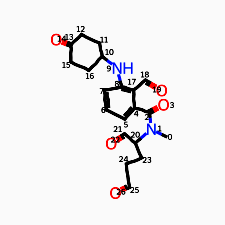 CN(C(=O)c1cccc(NC2CCC(=O)CC2)c1C=O)C(C=O)CCC=O